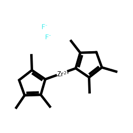 CC1=C(C)[C]([Zr+2][C]2=C(C)CC(C)=C2C)=C(C)C1.[F-].[F-]